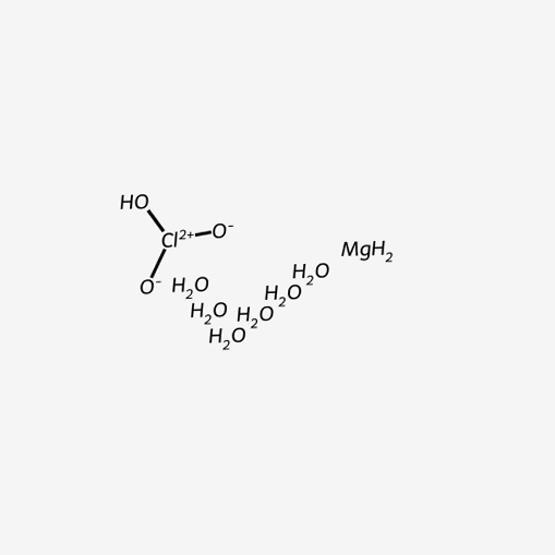 O.O.O.O.O.O.[MgH2].[O-][Cl+2]([O-])O